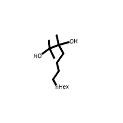 CCCCCCCCCCC(C)(O)C(C)(C)O